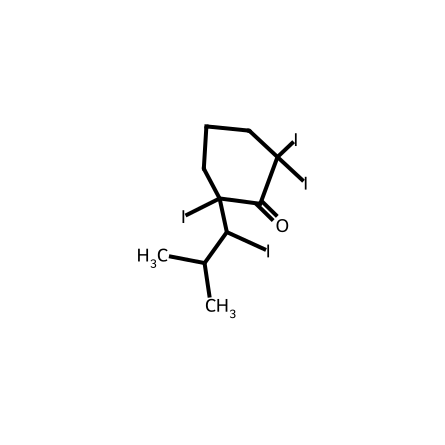 CC(C)C(I)C1(I)CCCC(I)(I)C1=O